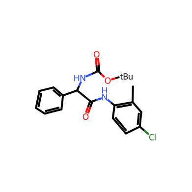 Cc1cc(Cl)ccc1NC(=O)C(NC(=O)OC(C)(C)C)c1ccccc1